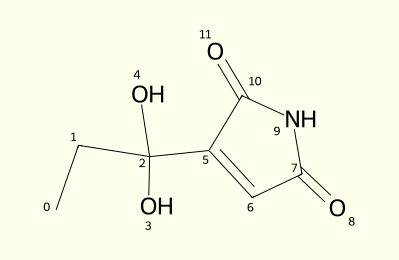 CCC(O)(O)C1=CC(=O)NC1=O